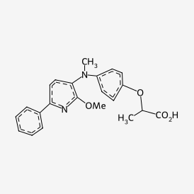 COc1nc(-c2ccccc2)ccc1N(C)c1ccc(OC(C)C(=O)O)cc1